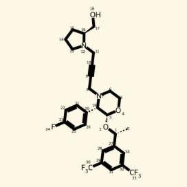 C[C@@H](O[C@H]1OCCN(CC#CCN2CCC[C@H]2CO)[C@H]1c1ccc(F)cc1)c1cc(C(F)(F)F)cc(C(F)(F)F)c1